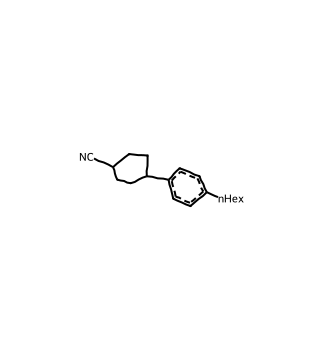 CCCCCCc1ccc(C2CCC(C#N)CC2)cc1